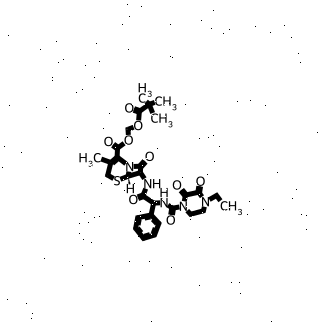 CCN1CCN(C(=O)NC(C(=O)NC2C(=O)N3C(C(=O)OCOC(=O)C(C)(C)C)=C(C)CS[C@H]23)c2ccccc2)C(=O)C1=O